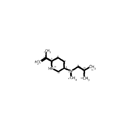 C=C(C)C1CCC(N(C)CC(C)C)CN1